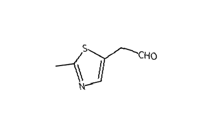 Cc1ncc(CC=O)s1